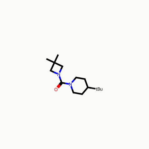 CC1(C)CN(C(=O)N2CCC(C(C)(C)C)CC2)C1